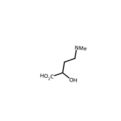 CNCCC(O)C(=O)O